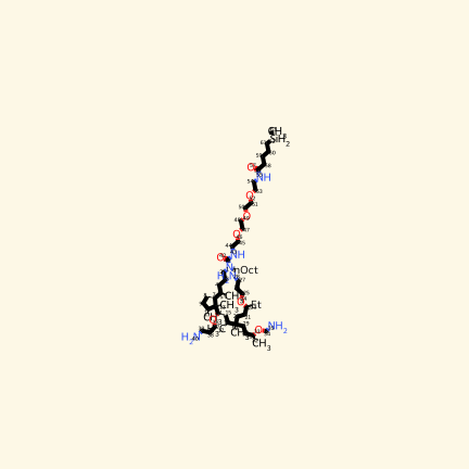 CCCCCCCCN(CCC[C@@H](C)[C@H]1CC[C@@H](C)[C@]1(C)[C@H](C[C@@H](C)[C@@](C)(CC[C@H](CC)OCCCN)CC[C@H](C)OCN)OCCCN)C(=O)NCCOCCOCCOCCNC(=O)CCCC[SiH2]C